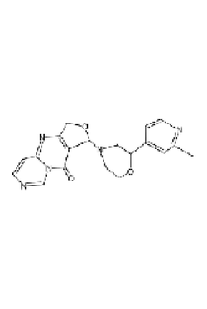 Cc1cc(C2CN(C3OCc4nc5ccncn5c(=O)c43)CCO2)ccn1